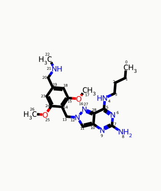 CCCCNc1nc(N)nc2cn(Cc3c(OC)cc(CNC)cc3OC)nc12